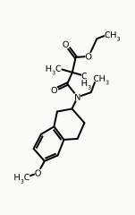 CCOC(=O)C(C)(C)C(=O)N(CC)C1CCc2cc(OC)ccc2C1